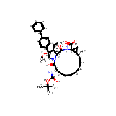 CCC1[C@H]2C(=O)N[C@]3(C(=O)O)C[C@H]3C=CCCCCC[C@H](NC(=O)OC(C)(C)C)C(=O)N2C[C@]1(OC)c1ccc(-c2ccccc2)cc1